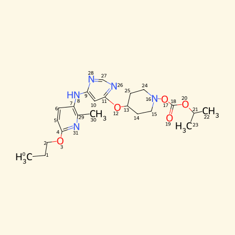 CCCOc1ccc(Nc2cc(OC3CCN(OC(=O)OC(C)C)CC3)ncn2)c(C)n1